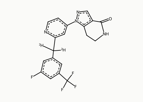 [2H]C([2H])(c1cc(F)cc(C(F)(F)F)c1)c1cc(-n2ncc3c2CCNC3=O)ccn1